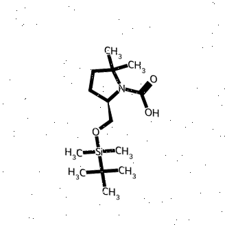 CC1(C)CC[C@H](CO[Si](C)(C)C(C)(C)C)N1C(=O)O